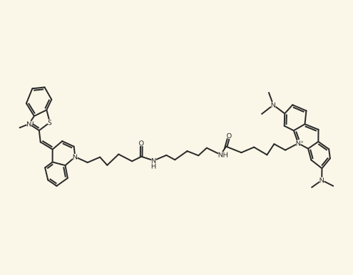 CN(C)c1ccc2cc3ccc(N(C)C)cc3[n+](CCCCCC(=O)NCCCCCNC(=O)CCCCCN3C=CC(=Cc4sc5ccccc5[n+]4C)c4ccccc43)c2c1